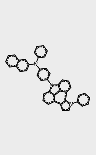 c1ccc(N(c2ccc(-n3c4cccc5c6ccn(-c7ccccc7)c6c6cccc3c6c54)cc2)c2ccc3ccccc3c2)cc1